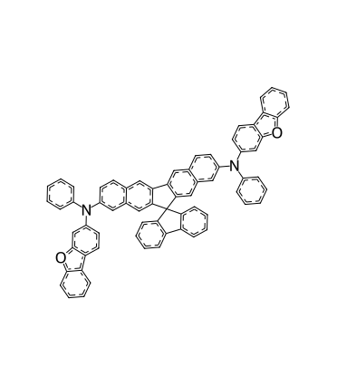 c1ccc(N(c2ccc3cc4c(cc3c2)C2(c3ccccc3-c3ccccc32)c2cc3cc(N(c5ccccc5)c5ccc6c(c5)oc5ccccc56)ccc3cc2-4)c2ccc3c(c2)oc2ccccc23)cc1